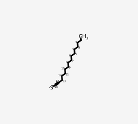 CCCCCCCCCCCCCCC#C[S]